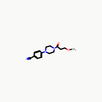 COCCC(=O)N1CCN(c2ccc(C#N)cc2)CC1